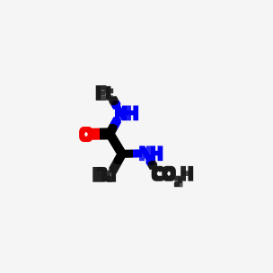 CCNC(=O)C(NC(=O)O)C(C)CC